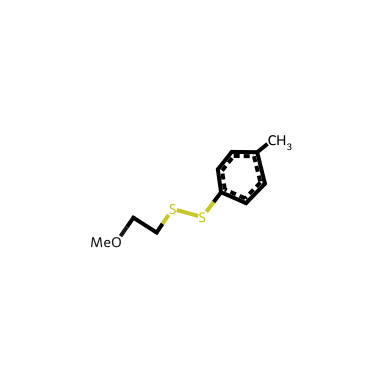 COCCSSc1ccc(C)cc1